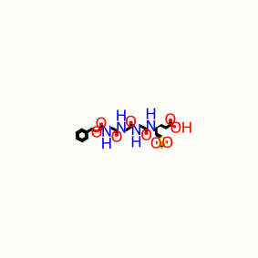 CS(=O)(=O)/C=C/[C@H](CCC(=O)O)NC(=O)CNC(=O)CNC(=O)CNC(=O)OCc1ccccc1